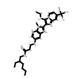 CCCCC(CC)COC(=O)CCSc1cnc2c(c1)nc(-c1nc3cc(C(F)(F)F)ccn3c1SCC)n2C